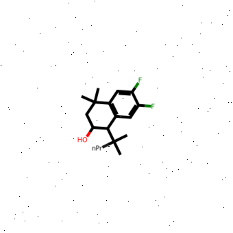 CCCC(C)(C)C1c2cc(F)c(F)cc2C(C)(C)CC1O